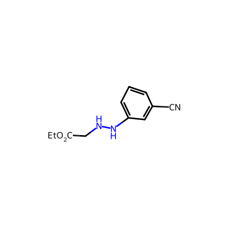 CCOC(=O)CNNc1cccc(C#N)c1